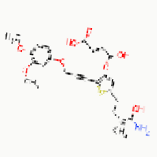 COc1ccc(OCC#Cc2ccc(CC[C@@H](C)C(N)O)s2)cc1OC.O=C(O)C=CC(=O)O